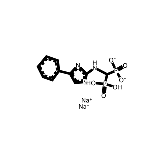 O=P([O-])([O-])C(Nc1nc(-c2ccccc2)cs1)P(=O)(O)O.[Na+].[Na+]